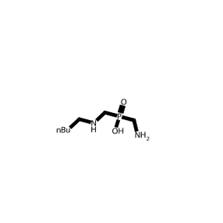 CCCCCNCP(=O)(O)CN